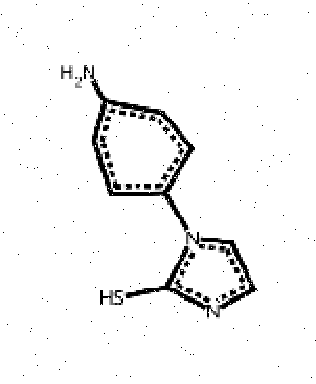 Nc1ccc(-n2ccnc2S)cc1